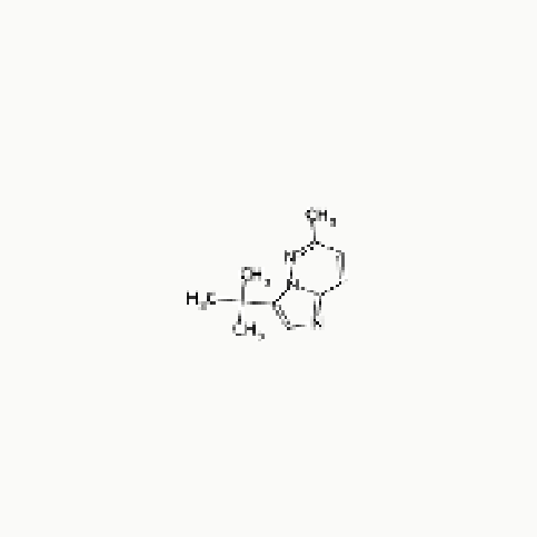 Cc1ccc2ncc(C(C)(C)C)n2n1